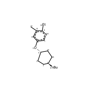 CCCC[C@H]1CC[C@H](Oc2cnc(CC)c(C)c2)CC1